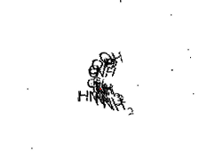 CCC(c1c[nH]c2nc(N)nc(N)c12)N(C)c1ccc(C(=O)N[C@@H](CCC(=O)O)C(=O)O)cc1